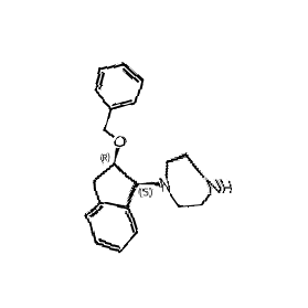 c1ccc(CO[C@@H]2Cc3ccccc3[C@@H]2N2CCNCC2)cc1